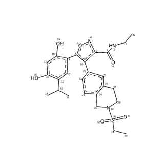 CCNC(=O)c1noc(-c2cc(C(C)C)c(O)cc2O)c1-c1ccc2c(c1)CCN(S(=O)(=O)CC)C2